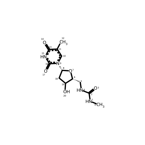 CNC(=O)NC[C@H]1O[C@@H](n2cc(C)c(=O)[nH]c2=O)CC1O